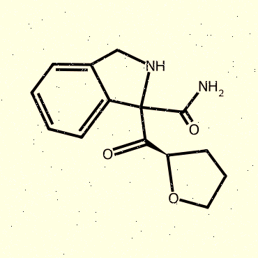 NC(=O)C1(C(=O)[C@H]2CCCO2)NCc2ccccc21